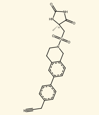 C[C@]1(CS(=O)(=O)N2CCc3cc(-c4ccc(CC#N)cc4)ccc3C2)NC(=O)NC1=O